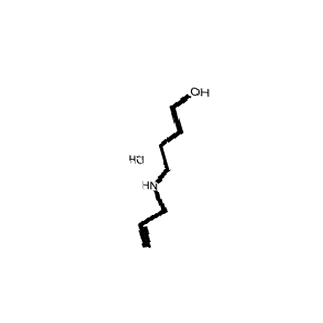 C=CCNCCCCO.Cl